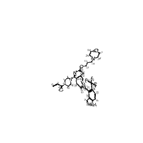 C=CC(=O)C1CCN(c2nc(OCCCN3CCOCC3)nc3c2CCN(c2c(C(F)(F)F)ccc4[nH]ncc24)C3)CC1